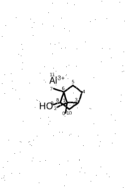 CC1(C)C2CCC1(C)C(O)C2.[Al+3]